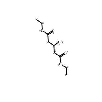 CCOC(=O)/C=C(\O)CC(=O)OCC